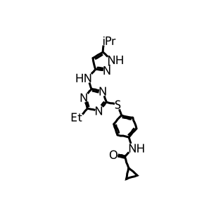 CCc1nc(Nc2cc(C(C)C)[nH]n2)nc(Sc2ccc(NC(=O)C3CC3)cc2)n1